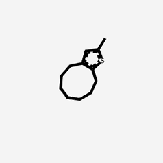 Cc1cc2c(s1)CCCCCCC2